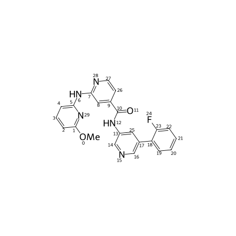 COc1cccc(Nc2cc(C(=O)Nc3cncc(-c4ccccc4F)c3)ccn2)n1